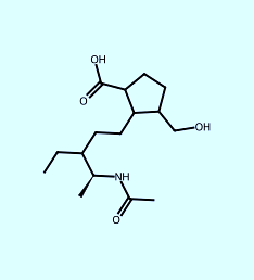 CCC(CCC1C(CO)CCC1C(=O)O)[C@H](C)NC(C)=O